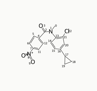 CN(C(=O)c1ccc([N+](=O)[O-])cc1)c1ccc(C2CC2)cc1Cl